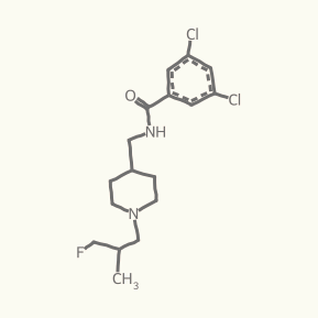 CC(CF)CN1CCC(CNC(=O)c2cc(Cl)cc(Cl)c2)CC1